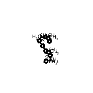 CC1(C)c2cccc(-c3ccc(-c4ccc5c(c4)C(C)(C)c4ccc6c(c4-5)Sc4ccccc4[Si]6(C)C)cc3)c2Sc2c1ccc1c2-c2ccccc2C1(C)C